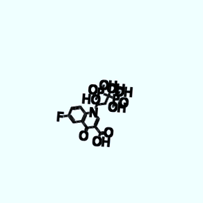 O=C(O)c1cn(CCC(O)(P(=O)(O)O)P(=O)(O)O)c2ccc(F)cc2c1=O